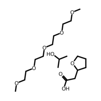 CC(C)O.COCCOCCOCCOCCOC.O=C(O)CC1CCCO1